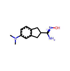 CN(C)c1ccc2c(c1)CC(/C(N)=N/O)C2